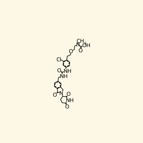 CN(CCOCCc1ccc(NC(=O)NCc2ccc3c(c2)CN(C2CCC(=O)NC2=O)C3=O)cc1Cl)C(=O)O